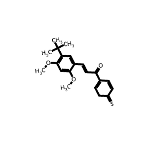 COc1cc(OC)c(C(C)(C)C)cc1C=CC(=O)C1=CCC(=S)C=C1